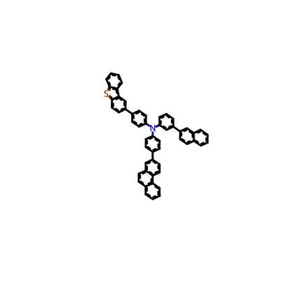 c1cc(-c2ccc3ccccc3c2)cc(N(c2ccc(-c3ccc4c(ccc5ccccc54)c3)cc2)c2ccc(-c3ccc4sc5ccccc5c4c3)cc2)c1